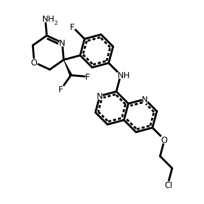 NC1=N[C@@](c2cc(Nc3nccc4cc(OCCCl)cnc34)ccc2F)(C(F)F)COC1